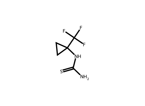 NC(=S)NC1(C(F)(F)F)CC1